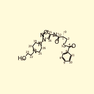 C[C@H](CSC(=O)c1ccccc1)C(=O)[N-]c1c[n+](N2CCN(CCO)CC2)no1